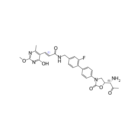 COc1nc(C)c(/C=C/C(=O)NCc2ccc(-c3ccc(N4CC([C@H](N)C(C)=O)OC4=O)cc3)c(F)c2)c(O)n1